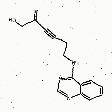 C=C(C#CCCNc1ncnc2ccccc12)CO